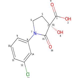 O=C(O)[C@]1(O)CCN(c2cccc(Cl)c2)C1=O